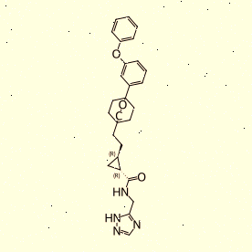 O=C(NCc1ncn[nH]1)[C@@H]1C[C@H]1CCC12CCC(c3cccc(Oc4ccccc4)c3)(CC1)OC2